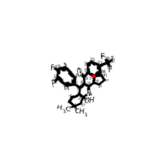 CC1(C)CC=C2C(c3ccc(F)c(F)c3)=C(C(=O)c3ccc(C(F)(F)F)cc3)C(C3CCCC3)=NC2(O)C1